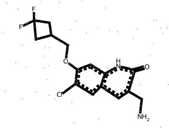 NCc1cc2cc(Cl)c(OCC3CC(F)(F)C3)cc2[nH]c1=O